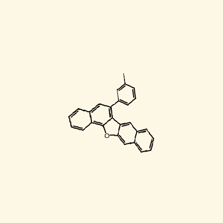 Cc1cccc(-c2cc3ccccc3c3oc4cc5ccccc5cc4c23)c1